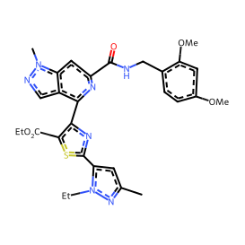 CCOC(=O)c1sc(-c2cc(C)nn2CC)nc1-c1nc(C(=O)NCc2ccc(OC)cc2OC)cc2c1cnn2C